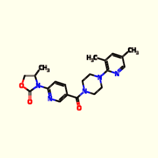 Cc1cnc(N2CCN(C(=O)c3ccc(N4C(=O)OCC4C)nc3)CC2)c(C)c1